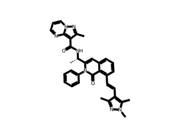 Cc1nn(C)c(C)c1/C=C/c1cccc2cc([C@H](C)NC(=O)c3c(C)nn4cccnc34)n(-c3ccccc3)c(=O)c12